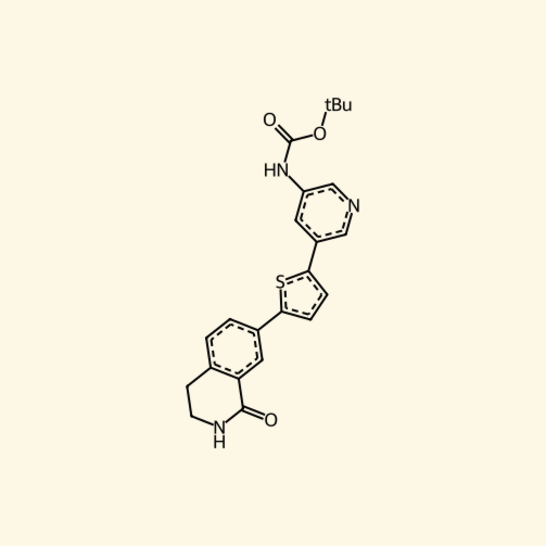 CC(C)(C)OC(=O)Nc1cncc(-c2ccc(-c3ccc4c(c3)C(=O)NCC4)s2)c1